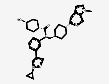 Cn1ccc2cc([C@H]3CC[C@H](CN(c4cccc(-c5cnn(C6CC6)c5)c4)C(=O)[C@H]4CC[C@H](O)CC4)CC3)ncc21